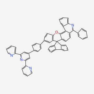 c1ccc(-c2nc3ccccc3c3c4c(ccc23)C2(c3cc(-c5ccc(-c6cc(-c7ccccn7)nc(-c7ccccn7)c6)cc5)ccc3O4)c3ccccc3-c3ccccc32)cc1